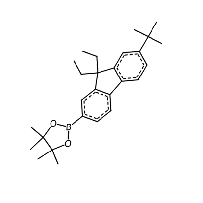 CCC1(CC)c2cc(B3OC(C)(C)C(C)(C)O3)ccc2-c2ccc(C(C)(C)C)cc21